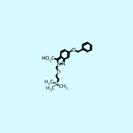 C[Si](C)(C)CCOCn1nc2cc(OCc3ccccc3)ccc2c1C(=O)O